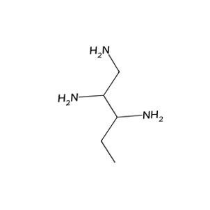 CCC(N)C(N)CN